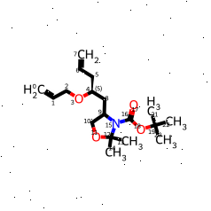 C=CCO[C@@H](CC=C)CC1COC(C)(C)N1C(=O)OC(C)(C)C